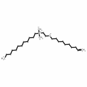 C=CCCCCCCCCOCC[N+](C)(C)CCCCCCCCCCCC